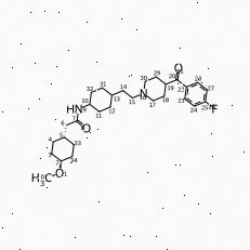 CO[C@H]1CC[C@H](CC(=O)NC2CCC(CCN3CCC(C(=O)c4ccc(F)cc4)CC3)CC2)CC1